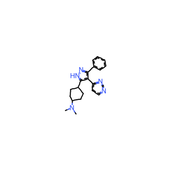 CN(C)C1CCC(c2[nH]nc(-c3ccccc3)c2-c2ccncn2)CC1